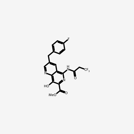 COC(=O)c1nc(NC(=O)CC(F)(F)F)c2cc(Cc3ccc(F)cc3)cnc2c1O